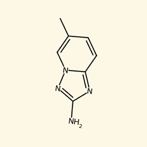 Cc1ccc2nc(N)nn2c1